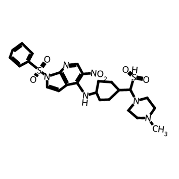 CN1CCN(C(C2CCC(Nc3c([N+](=O)[O-])cnc4c3ccn4S(=O)(=O)c3ccccc3)CC2)[SH](=O)=O)CC1